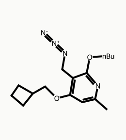 CCCCOc1nc(C)cc(OCC2CCC2)c1CN=[N+]=[N-]